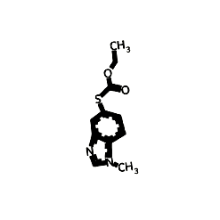 CCOC(=O)Sc1ccc2c(c1)ncn2C